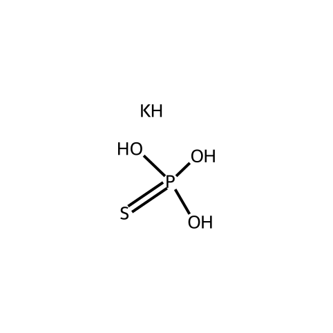 OP(O)(O)=S.[KH]